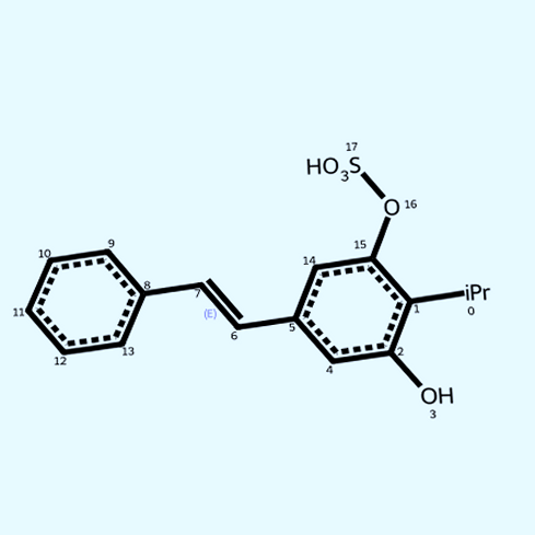 CC(C)c1c(O)cc(/C=C/c2ccccc2)cc1OS(=O)(=O)O